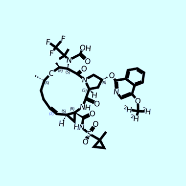 [2H]C([2H])([2H])Oc1cnc(O[C@@H]2C[C@H]3C(=O)N[C@]4(C(=O)NS(=O)(=O)C5(C)CC5)C[C@H]4/C=C\CC[C@H](C)C[C@@H](C)[C@H](N(C(=O)O)C(C)(C)C(F)(F)F)C(=O)N3C2)c2ccccc12